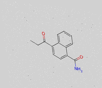 CCC(=O)c1ccc(C(N)=O)c2ccccc12